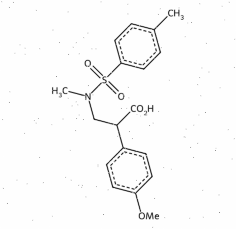 COc1ccc(C(CN(C)S(=O)(=O)c2ccc(C)cc2)C(=O)O)cc1